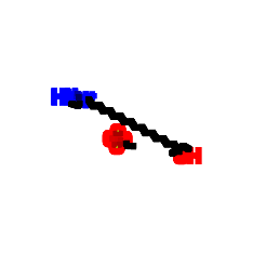 CCC(C)(O)CCCCCCCCCCCCCCC=CC[N+]1=CNCC1.CCOS(=O)(=O)[O-]